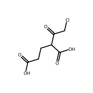 O=C(O)CCC(C(=O)O)C(=O)CCl